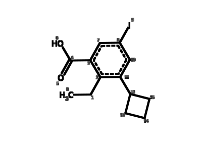 CCc1c(C(=O)O)cc(I)cc1C1CCC1